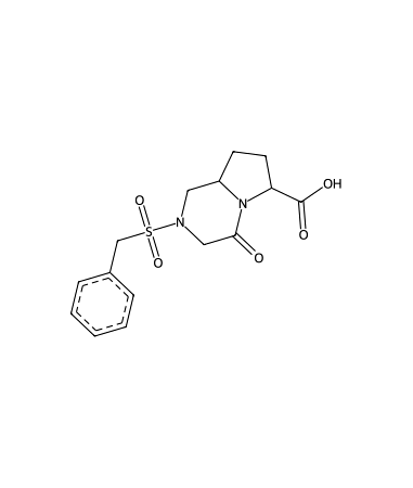 O=C(O)C1CCC2CN(S(=O)(=O)Cc3ccccc3)CC(=O)N21